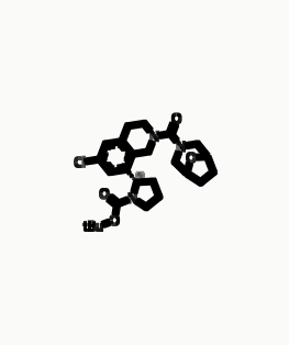 CC(C)(C)OC(=O)N1CCC[C@H]1c1cc(Cl)cc2c1CN(C(=O)N1CC3CCC(C1)O3)CC2